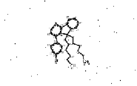 CCCCCCC1(CCCCCC)c2ccccc2-c2cccc(-c3ccc(Br)cc3)c21